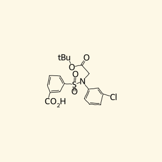 CC(C)(C)OC(=O)CN(c1cccc(Cl)c1)S(=O)(=O)c1cccc(C(=O)O)c1